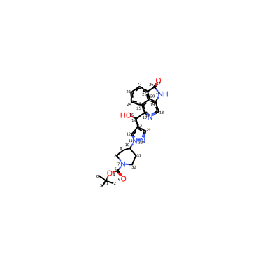 CC(C)(C)OC(=O)N1CCC(n2cc(C(O)c3ncc4c5c(cccc35)C(=O)N4)cn2)CC1